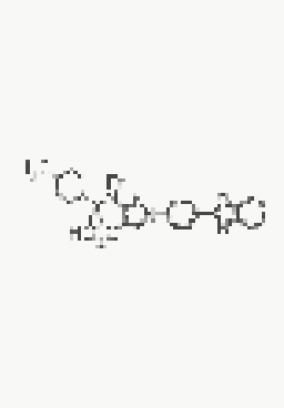 CCN(c1nn(-c2ccc(-c3nc4ccccc4o3)cc2)cc1C(=O)O)C(=O)[C@H]1CC[C@H](C)CC1